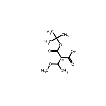 COC(N)[C@H](C(=O)O)C(=O)OC(C)(C)C